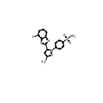 NS(=O)(=O)c1ccc(-n2nc(C(F)(F)F)cc2-c2nc3cccc(F)c3s2)cc1